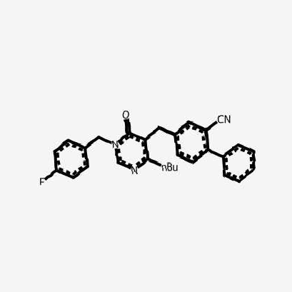 CCCCc1ncn(Cc2ccc(F)cc2)c(=O)c1Cc1ccc(-c2ccccc2)c(C#N)c1